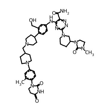 Cc1cc(N2CCC(CN3CCC(c4ccc(Nc5nc(N6CCCC(N7CCN(C)C7=O)C6)nnc5C(N)=O)cc4CO)CC3)CC2)ccc1N1CCC(=O)NC1=O